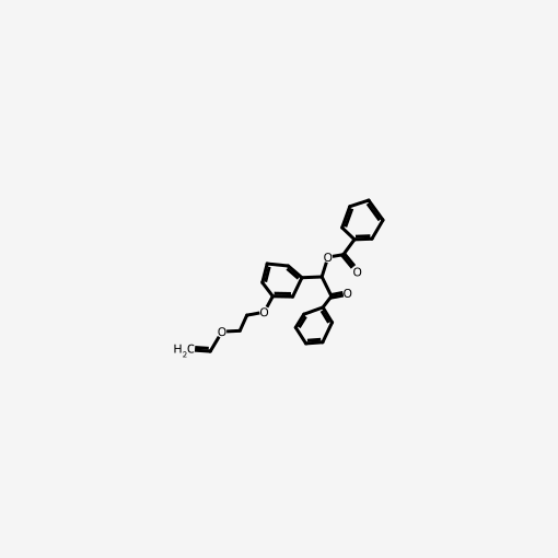 C=COCCOc1cccc(C(OC(=O)c2ccccc2)C(=O)c2ccccc2)c1